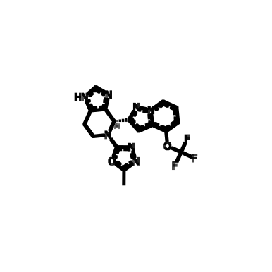 Cc1nnc(N2CCc3[nH]cnc3[C@@H]2c2cc3c(OC(F)(F)F)cccn3n2)o1